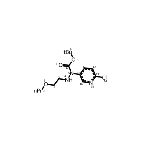 CCCOCCNN(C(=O)OC(C)(C)C)c1ccc(Cl)nc1